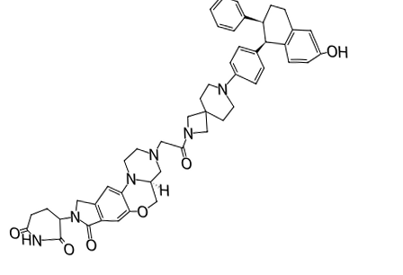 O=C1CCC(N2Cc3cc4c(cc3C2=O)OC[C@@H]2CN(CC(=O)N3CC5(CCN(c6ccc([C@@H]7c8ccc(O)cc8CC[C@@H]7c7ccccc7)cc6)CC5)C3)CCN42)C(=O)N1